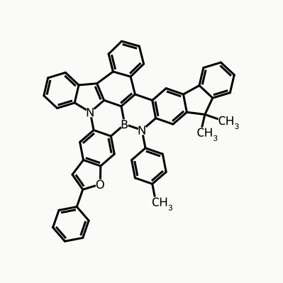 Cc1ccc(N2B3c4cc5oc(-c6ccccc6)cc5cc4-n4c5ccccc5c5c6ccccc6c(c3c54)-c3cc4c(cc32)C(C)(C)c2ccccc2-4)cc1